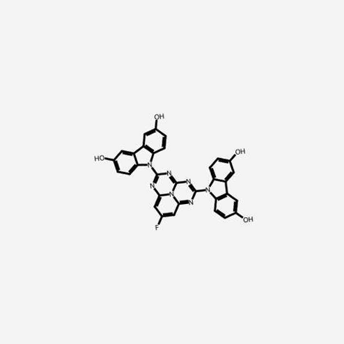 Oc1ccc2c(c1)c1cc(O)ccc1n2C1=NC2=CC(F)=CC3=NC(n4c5ccc(O)cc5c5cc(O)ccc54)=NC(=N1)N23